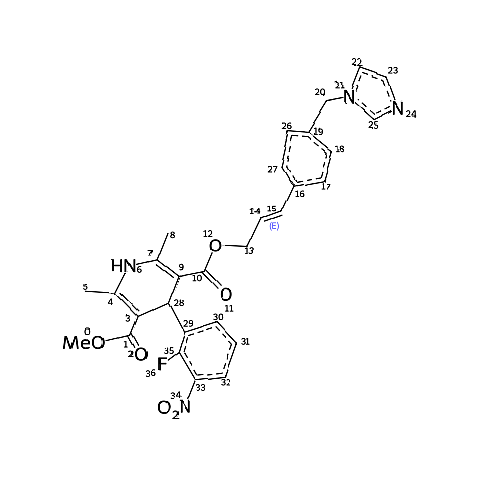 COC(=O)C1=C(C)NC(C)=C(C(=O)OC/C=C/c2ccc(Cn3ccnc3)cc2)C1c1cccc([N+](=O)[O-])c1F